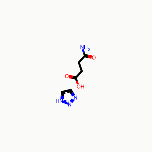 NC(=O)CCC(=O)O.c1c[nH]nn1